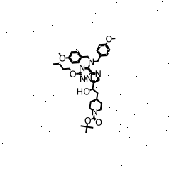 CCCCOc1nc(N(Cc2ccc(OC)cc2)Cc2ccc(OC)cc2)c2ncc(C(O)CC3CCN(C(=O)OC(C)(C)C)CC3)n2n1